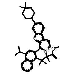 C=C(OC)C1(C)[n+]2ccc3c(sc4cc(C5CCC(C)(C)CC5)ccc43)c2-c2cc(C(C)C)c3ccccc3c2C1(C)C